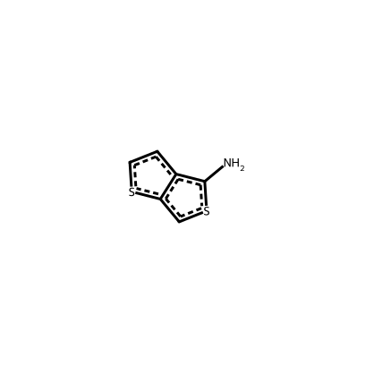 Nc1scc2sccc12